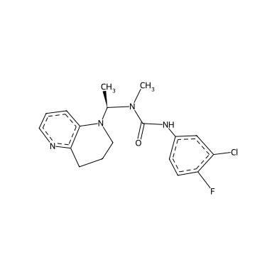 C[C@@H](N(C)C(=O)Nc1ccc(F)c(Cl)c1)N1CCCc2ncccc21